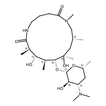 C[C@H]1CN(C)C(=O)CCCNC(=O)[C@H](C)[C@@H](O)[C@H](C)[C@@H](O[C@@H]2O[C@H](C)C[C@H](N(C)C)[C@H]2O)[C@](C)(O)C1